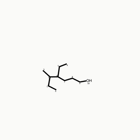 CCC(C)C(CC)CCCO